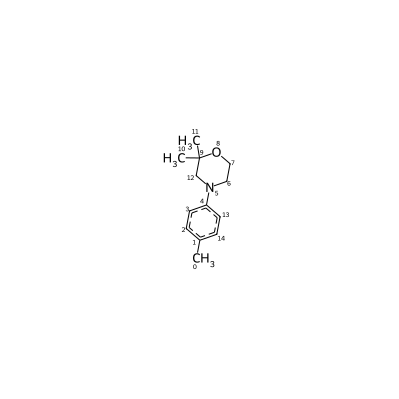 Cc1ccc(N2CCOC(C)(C)C2)cc1